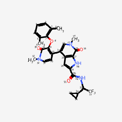 Cc1cccc(C)c1Oc1c(-c2cn(C)c(=O)c3[nH]c(C(=O)NC(C4CC4)C(F)(F)F)cc23)ccn(C)c1=O